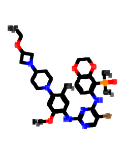 CCOC1CN(C2CCN(c3cc(OC)c(Nc4ncc(Br)c(Nc5ccc6c(c5P(C)(C)=O)OCCO6)n4)cc3C)CC2)C1